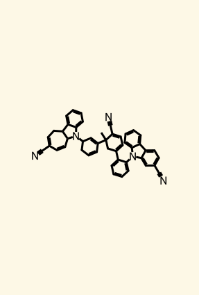 CC1(C2=CC(N3c4ccccc4C4CC=C(C#N)C=CC43)CC=C2)CC(c2ccccc2-n2c3ccccc3c3ccc(C#N)cc32)=CC=C1C#N